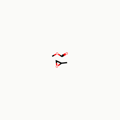 CC1CO1.COC=O